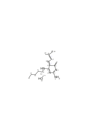 C=C1N=C(N)N=C(N[C@H](CO)CCCC)/C1=N/C=C(\C)F